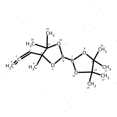 C=C=CC1(C)OB(B2OC(C)(C)C(C)(C)O2)OC1(C)C